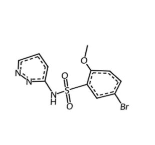 COc1ccc(Br)cc1S(=O)(=O)Nc1cccnn1